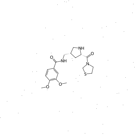 COc1ccc(C(=O)NC[C@@H]2CN[C@H](C(=O)N3CCSC3)C2)cc1OC